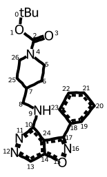 CC(C)(C)OC(=O)N1CCC(CNc2nncc3onc(-c4ccccc4)c23)CC1